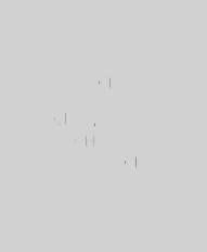 [CH2]CC[Si](C)(Cl)OCCC